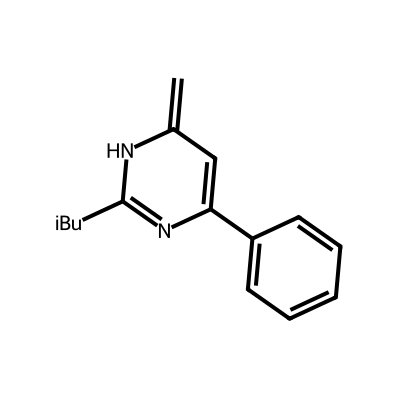 C=C1C=C(c2ccccc2)N=C(C(C)CC)N1